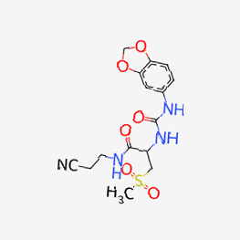 CS(=O)(=O)CC(NC(=O)Nc1ccc2c(c1)OCO2)C(=O)NCCC#N